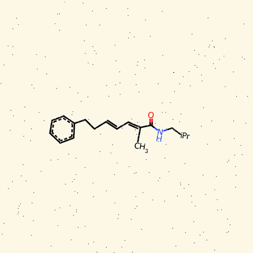 C/C(=C\C=CCCc1ccccc1)C(=O)NCC(C)C